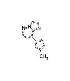 Cc1csc(-c2ccnn3ccnc23)c1